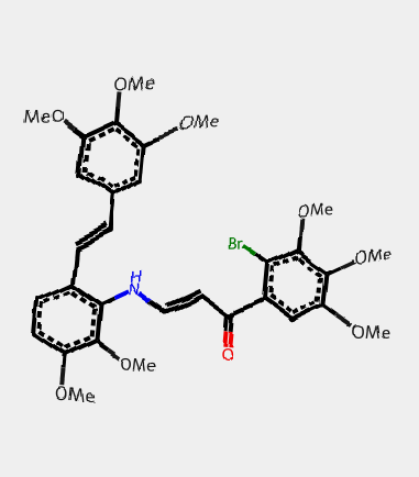 COc1cc(C=Cc2ccc(OC)c(OC)c2NC=CC(=O)c2cc(OC)c(OC)c(OC)c2Br)cc(OC)c1OC